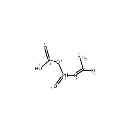 CCC(N)=N[PH](=O)O[PH](=O)O